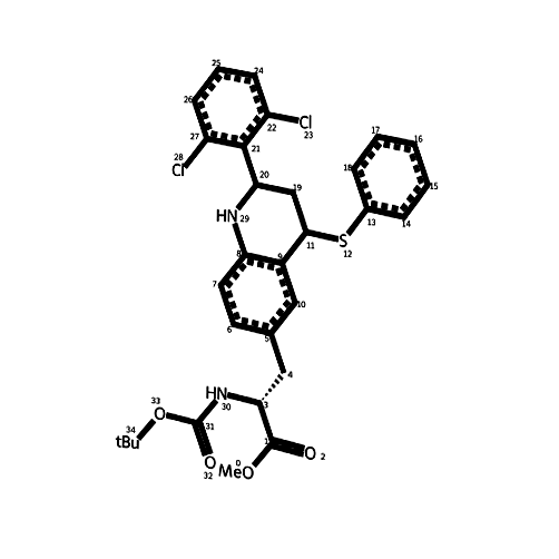 COC(=O)[C@@H](Cc1ccc2c(c1)C(Sc1ccccc1)CC(c1c(Cl)cccc1Cl)N2)NC(=O)OC(C)(C)C